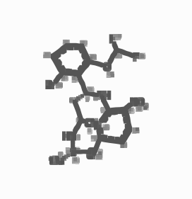 CC(C)(C)[S@@+]([O-])NC(C#N)C[C@@H](Nc1nc(Cl)ccc1[N+](=O)[O-])c1c(Br)cccc1OC(F)F